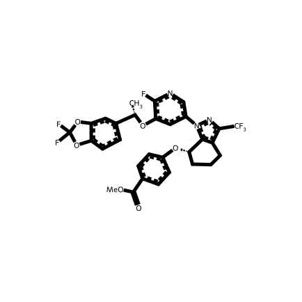 COC(=O)c1ccc(O[C@H]2CCCc3c(C(F)(F)F)nn(-c4cnc(F)c(O[C@@H](C)c5ccc6c(c5)OC(F)(F)O6)c4)c32)cc1